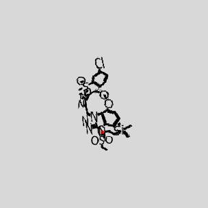 CCS(=O)(=O)N(CC[Si](C)(C)C)c1nnc2n1-c1c(OC)cccc1OO[C@@H](c1ccc(Cl)cc1S(C)(=O)=O)c1cc-2nn1C